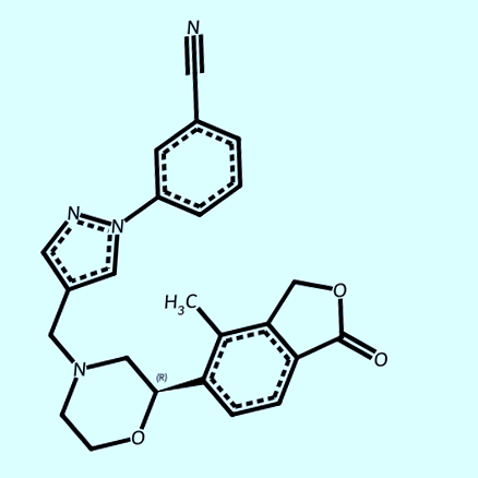 Cc1c([C@@H]2CN(Cc3cnn(-c4cccc(C#N)c4)c3)CCO2)ccc2c1COC2=O